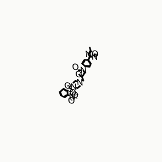 Cc1nc(-c2ccc(N3CC(CN4CCN(S(=O)(=O)c5ccccc5[N+](=O)[O-])CC4)OC3=O)cc2)no1